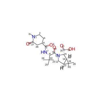 CN1CCC(C(=O)N[C@H](C(=O)N2C[C@H]3[C@@H]([C@H]2C(=O)O)C3(C)C)C(C)(C)C)CC1=O